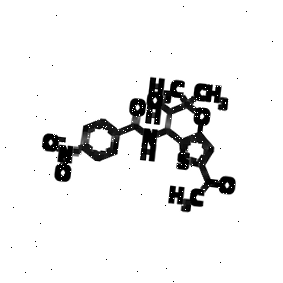 CC(=O)c1cc2c(s1)C(NC(=O)c1ccc([N+](=O)[O-])cc1)C(O)C(C)(C)O2